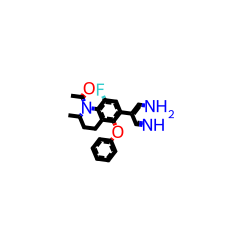 CC(=O)N1c2c(F)cc(/C(C=N)=C/N)c(Oc3ccccc3)c2CCC1C